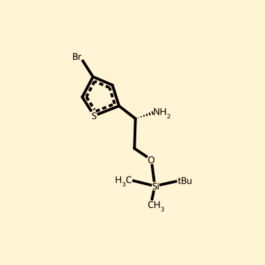 CC(C)(C)[Si](C)(C)OC[C@@H](N)c1cc(Br)cs1